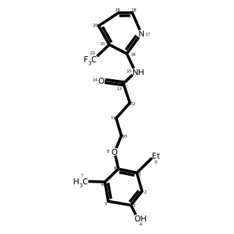 CCc1cc(O)cc(C)c1OCCCC(=O)Nc1ncccc1C(F)(F)F